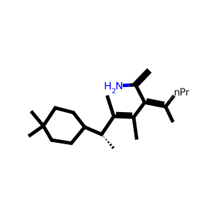 C=C(N)C(=C(/C)CCC)/C(C)=C(\C)[C@H](C)C1CCC(C)(C)CC1